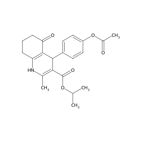 CC(=O)Oc1ccc(C2C(C(=O)OC(C)C)=C(C)NC3=C2C(=O)CCC3)cc1